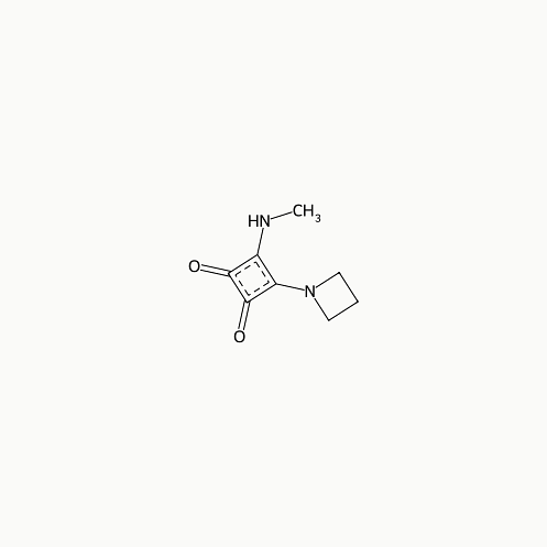 CNc1c(N2CCC2)c(=O)c1=O